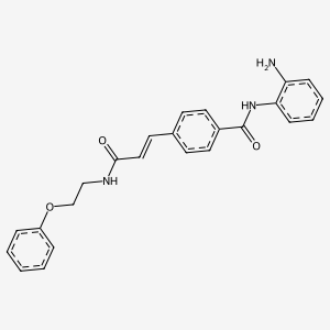 Nc1ccccc1NC(=O)c1ccc(/C=C/C(=O)NCCOc2ccccc2)cc1